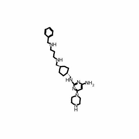 Nc1cc(N2CCNCC2)nc(NC[C@H]2CC[C@H](CNCCCNCc3ccccc3)CC2)n1